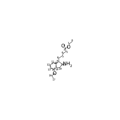 CCOC(=O)CCCCC1c2cccc(OCC)c2CC1N